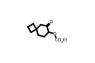 CCOC(=O)OC1CCC2(CCC2)CC1=O